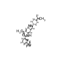 CSc1cc2nn([C@H]3CC[C@H](C(C)I)CC3)cc2cc1NC(=O)c1cccc(C(F)(F)F)n1